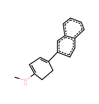 CBC1=CC=C(c2ccc3ccccc3c2)CC1